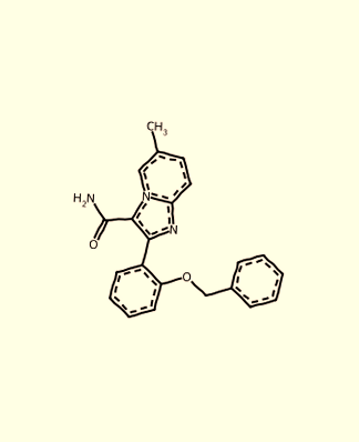 Cc1ccc2nc(-c3ccccc3OCc3ccccc3)c(C(N)=O)n2c1